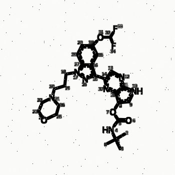 CC(C)(C)NC(=O)Oc1c[nH]c2ncc(-c3nn(CCCN4CCOCC4)c4ccc(OC(F)F)cc34)nc12